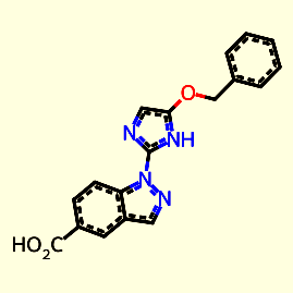 O=C(O)c1ccc2c(cnn2-c2ncc(OCc3ccccc3)[nH]2)c1